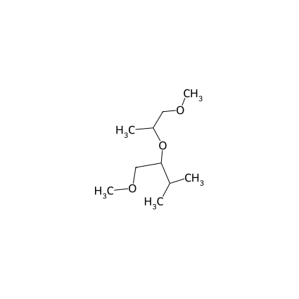 COCC(C)OC(COC)C(C)C